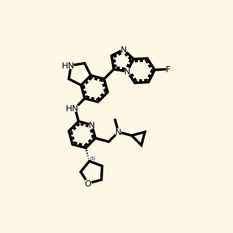 CN(Cc1nc(Nc2ccc(-c3cnc4cc(F)ccn34)c3c2CNC3)ccc1[C@@H]1CCOC1)C1CC1